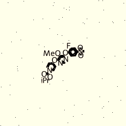 COc1c(Oc2ccc(S(C)(=O)=O)cc2F)ncnc1OC1CCN(C(=O)OC(C)C)CC1